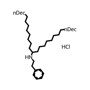 CCCCCCCCCCCCCCCCCCC(CCCCCCCCCCCCCCCCCC)NCCc1ccccc1.Cl